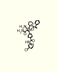 C=C(C(=O)N1CCCCC1c1nc(-c2ccc(C(=O)Nc3cc(Cl)ccn3)cc2)c(C(N)=O)n1N)c1ccccc1